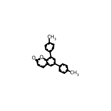 Cc1ccc(-c2cc(-c3ccc(C)cc3)c3oc(=O)ccc3c2)cc1